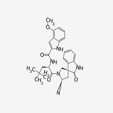 COc1cccc2[nH]c(C(=O)N[C@H](CC(C)(C)C)C(=O)N3C[C@]4(C[C@H]3C#N)C(=O)Nc3ccccc34)cc12